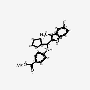 COC(=O)c1ccc(NC(c2oc3ccc(F)cc3c2C)C2CCCC2)cc1